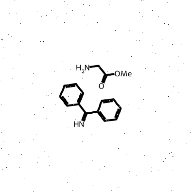 COC(=O)CN.N=C(c1ccccc1)c1ccccc1